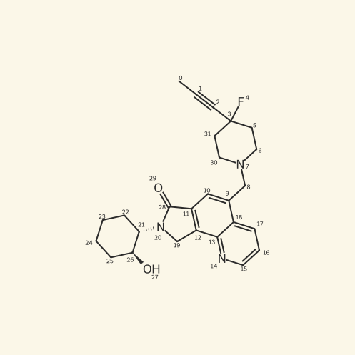 CC#CC1(F)CCN(Cc2cc3c(c4ncccc24)CN([C@H]2CCCC[C@@H]2O)C3=O)CC1